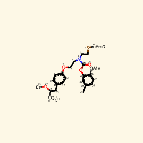 CCCCCSCCN(CCOc1ccc(CC(OCC)C(=O)O)cc1)C(=O)Oc1cc(C)ccc1OC